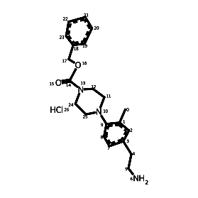 Cc1cc(CCN)ccc1N1CCN(C(=O)OCc2ccccc2)CC1.Cl